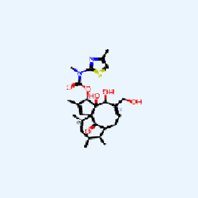 CC1=CC23C(=O)C(C/C=C(/CO)C(O)C2(O)C1OC(=O)N(C)c1nc(C)cs1)C(C)C(C)C[C@H]3C